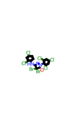 O=C1N(c2c(Cl)cc(Cl)cc2Cl)N=C(Nc2ccc(Cl)cc2Cl)C1(Br)Br